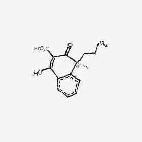 CCOC(=O)C1=C(O)c2ccccc2[C@](C)(CCC(C)(C)C)C1=O